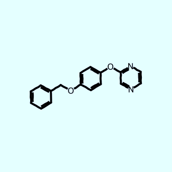 c1ccc(COc2ccc(Oc3cnccn3)cc2)cc1